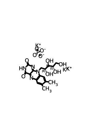 Cc1cc2nc3c(=O)[nH]c(=O)nc-3n(C[C@@H](O)[C@@H](O)[C@@H](O)CO)c2cc1C.O=P([O-])([O-])[O-].[K+].[K+].[K+]